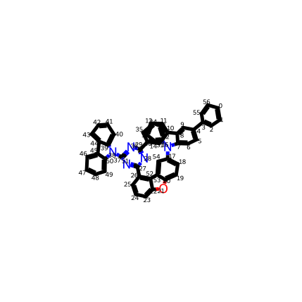 c1ccc(-c2ccc3c(c2)c2ccccc2n3-c2ccc3oc4cccc(-c5nc(-c6ccccc6)nc(-n6c7ccccc7c7ccccc76)n5)c4c3c2)cc1